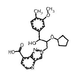 COc1cc(C(O)C(Cn2cc3nccc(C(=O)O)c3n2)OC2CCCC2)ccc1C